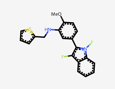 COc1ccc(-c2c(F)c3ccccc3n2F)cc1NCc1cccs1